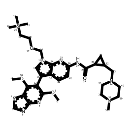 COc1nc2ncsc2c(OC)c1-c1cn(COCC[Si](C)(C)C)c2nc(NC(=O)C3CC3CN3CCN(C)CC3)ccc12